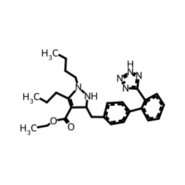 CCCCN1NC(Cc2ccc(-c3ccccc3-c3nn[nH]n3)cc2)C(C(=O)OCC)=C1CCC